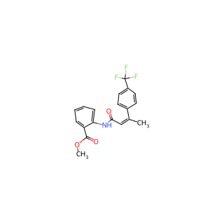 COC(=O)c1ccccc1NC(=O)/C=C(/C)c1ccc(C(F)(F)F)cc1